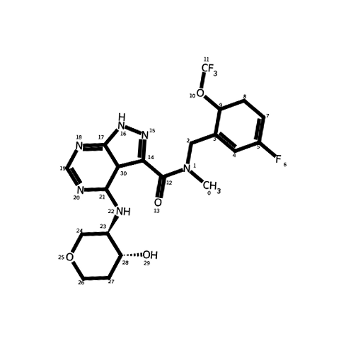 CN(CC1=CC(F)=CCC1OC(F)(F)F)C(=O)C1=NNC2=NC=NC(N[C@@H]3COCC[C@H]3O)C21